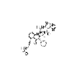 CC(=O)NCC#Cc1cccc2nc([C@H](C)NC(=O)c3c(N)ncn4ccnc34)n(-c3ccccc3)c(=O)c12